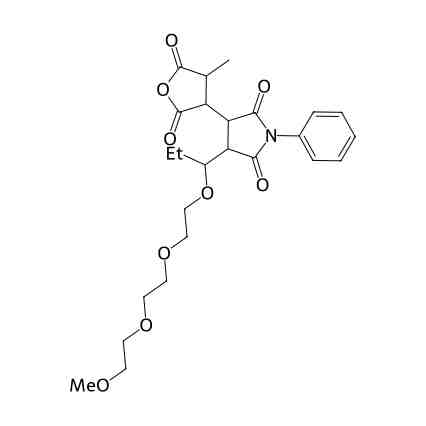 CCC(OCCOCCOCCOC)C1C(=O)N(c2ccccc2)C(=O)C1C1C(=O)OC(=O)C1C